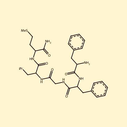 CSCCC(NC(=O)C(CC(C)C)NC(=O)CNC(=O)C(Cc1ccccc1)NC(=O)C(N)Cc1ccccc1)C(N)=O